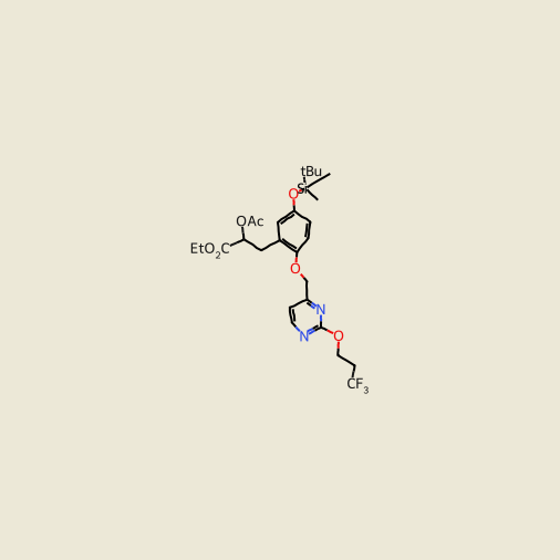 CCOC(=O)C(Cc1cc(O[Si](C)(C)C(C)(C)C)ccc1OCc1ccnc(OCCC(F)(F)F)n1)OC(C)=O